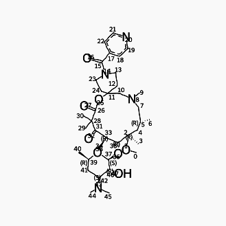 CO[C@]1(C)C[C@@H](C)CN(C)CC2(CCN(C(=O)c3ccncc3)CC2)OC(=O)C(C)(C)C(=O)[C@H](C)[C@H]1O[C@@H]1O[C@H](C)C[C@H](N(C)C)[C@H]1O